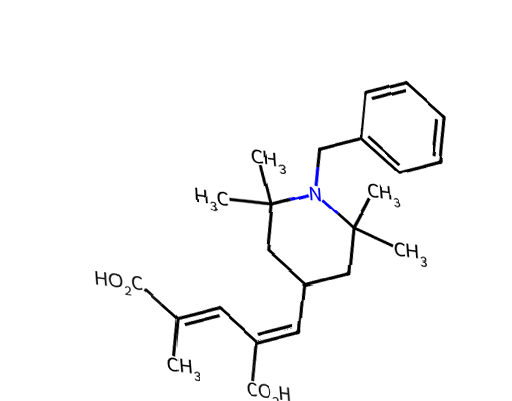 CC(=CC(=CC1CC(C)(C)N(Cc2ccccc2)C(C)(C)C1)C(=O)O)C(=O)O